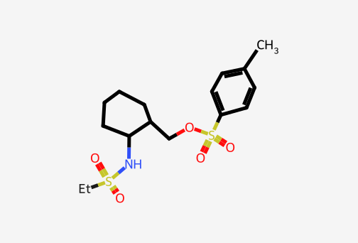 CCS(=O)(=O)NC1CCCCC1COS(=O)(=O)c1ccc(C)cc1